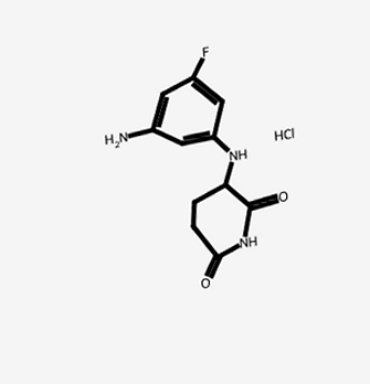 Cl.Nc1cc(F)cc(NC2CCC(=O)NC2=O)c1